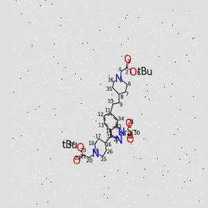 CC(C)(C)OC(=O)CN1CCC(CCc2ccc3c(C4CCN(CC(=O)OC(C)(C)C)CC4)nn(S(C)(=O)=O)c3c2)CC1